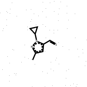 Cc1cc(C=S)n(C2CC2)n1